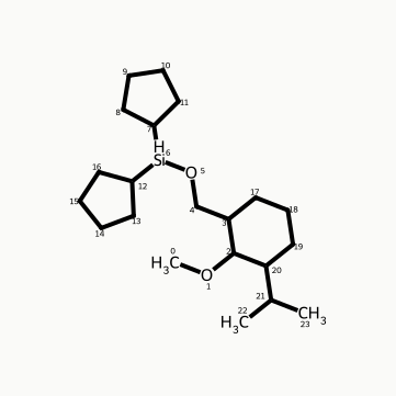 COC1C(CO[SiH](C2CCCC2)C2CCCC2)CCCC1C(C)C